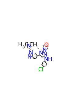 CN(C)CCn1cnc2ccc(-c3cc(Nc4ccc(Cl)cc4)nc(N4CCOCC4)n3)cc21